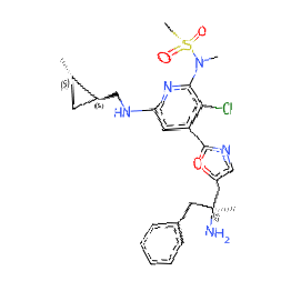 C[C@H]1C[C@@H]1CNc1cc(-c2ncc([C@@](C)(N)Cc3ccccc3)o2)c(Cl)c(N(C)S(C)(=O)=O)n1